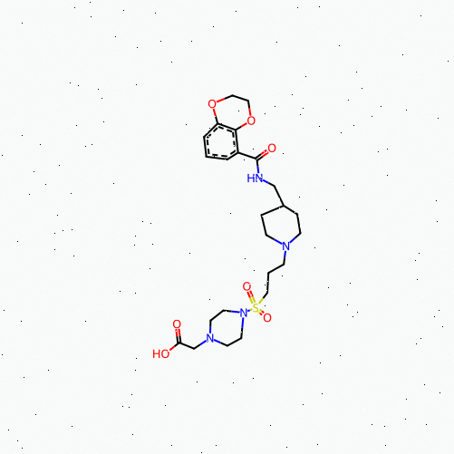 O=C(O)CN1CCN(S(=O)(=O)CCCN2CCC(CNC(=O)c3cccc4c3OCCO4)CC2)CC1